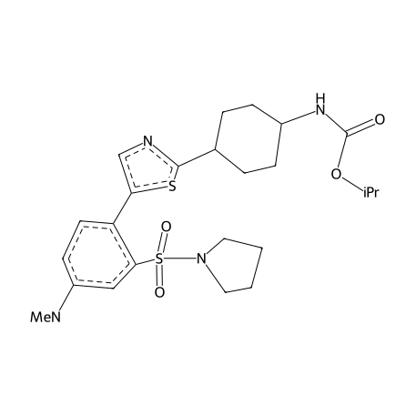 CNc1ccc(-c2cnc(C3CCC(NC(=O)OC(C)C)CC3)s2)c(S(=O)(=O)N2CCCC2)c1